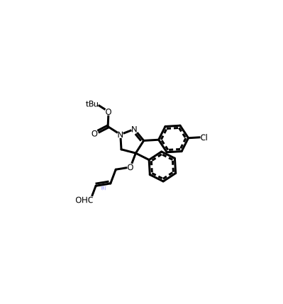 CC(C)(C)OC(=O)N1CC(OC/C=C/C=O)(c2ccccc2)C(c2ccc(Cl)cc2)=N1